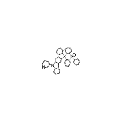 O=P1(c2ccccc2)c2ccccc2C(c2ccccc2)(c2ccc3c(c2)c2ccccc2n3-c2cccnc2)c2ccccc21